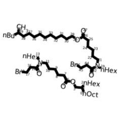 CCCCCCCCC(CCCCCC)COC(=O)CCCCCN(CCCCCC)C(=O)CCBr.CCCCCCN(CCCCCC(=O)OCCCCCCCCCCC(C)CCCC)C(=O)CCBr